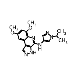 COc1cc(OC)c2nc(Nc3cnn(C(C)C)c3)c3[nH]ncc3c2c1